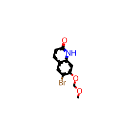 COCOc1cc2[nH]c(=O)ccc2cc1Br